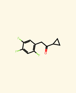 O=C(Cc1cc(F)c(F)cc1F)C1CC1